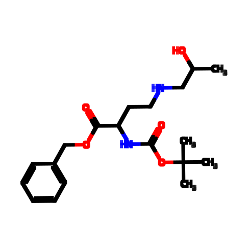 CC(O)CNCCC(NC(=O)OC(C)(C)C)C(=O)OCc1ccccc1